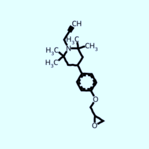 C#CCN1C(C)(C)CC(c2ccc(OCC3CO3)cc2)CC1(C)C